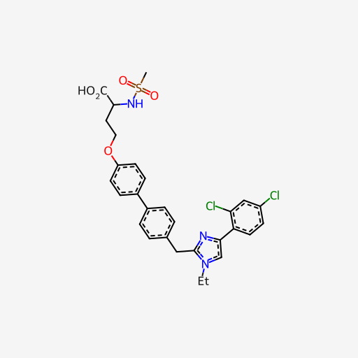 CCn1cc(-c2ccc(Cl)cc2Cl)nc1Cc1ccc(-c2ccc(OCCC(NS(C)(=O)=O)C(=O)O)cc2)cc1